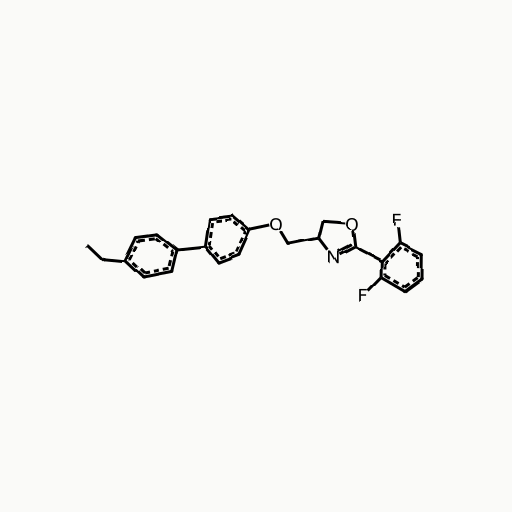 CCc1ccc(-c2ccc(OCC3COC(c4c(F)cccc4F)=N3)cc2)cc1